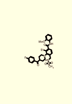 CCc1c(C(=O)Nc2ccccc2OC)ccc(CNS(C)(=O)=O)c1N1CCC(C(=O)c2ccc(F)cc2)CC1